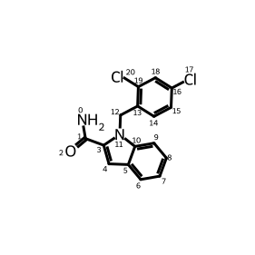 NC(=O)c1cc2ccccc2n1Cc1ccc(Cl)cc1Cl